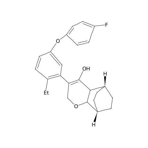 CCc1ccc(Oc2ccc(F)cc2)cc1C1=C(O)C2C(OC1)[C@H]1CC[C@@H]2CC1